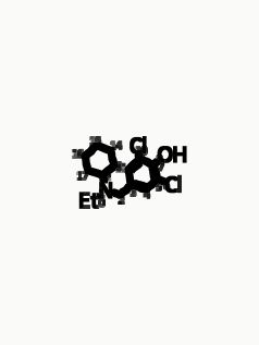 CCN(Cc1cc(Cl)c(O)c(Cl)c1)C1CCCCC1